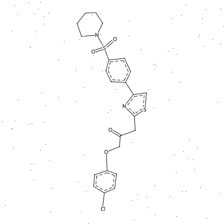 O=C(COc1ccc(Cl)cc1)Cc1nc(-c2ccc(S(=O)(=O)N3CCCCC3)cc2)cs1